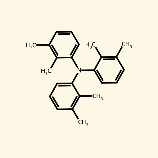 Cc1cccc(N(c2cccc(C)c2C)c2cccc(C)c2C)c1C